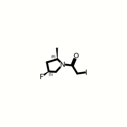 C[C@@H]1C[C@H](F)CN1C(=O)CI